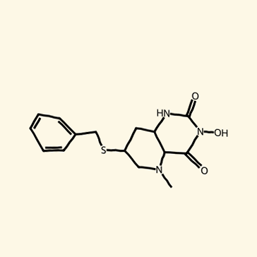 CN1CC(SCc2ccccc2)CC2NC(=O)N(O)C(=O)C21